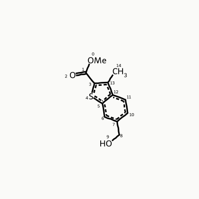 COC(=O)c1sc2cc(CO)ccc2c1C